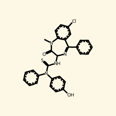 CN1C(=O)C(NC(=S)N(c2ccccc2)c2ccc(O)cc2)N=C(c2ccccc2)c2cc(Cl)ccc21